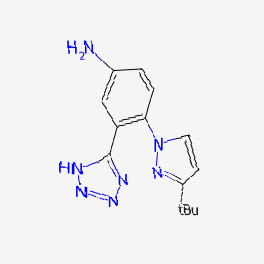 CC(C)(C)c1ccn(-c2ccc(N)cc2-c2nnn[nH]2)n1